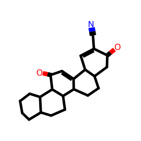 N#CC1=CC2C3=CC(=O)C4C5CCCCC5CCC4C3CCC2CC1=O